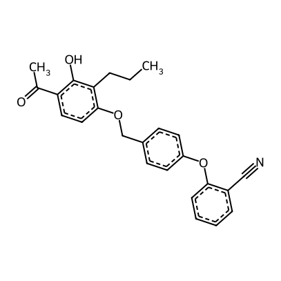 CCCc1c(OCc2ccc(Oc3ccccc3C#N)cc2)ccc(C(C)=O)c1O